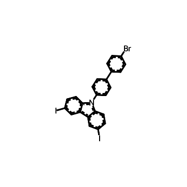 Brc1ccc(-c2ccc(-n3c4ccc(I)cc4c4cc(I)ccc43)cc2)cc1